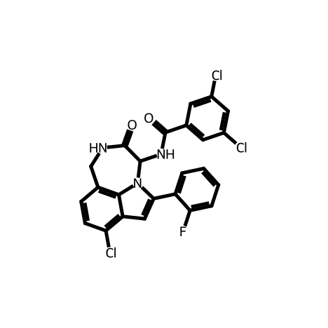 O=C(NC1C(=O)NCc2ccc(Cl)c3cc(-c4ccccc4F)n1c23)c1cc(Cl)cc(Cl)c1